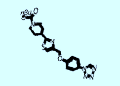 CCCCOC(=O)N1CCC(c2nc(COc3ccc(-n4cnnn4)cc3)cs2)CC1